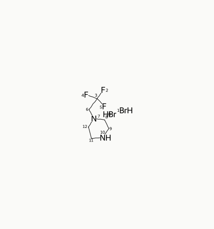 Br.Br.FC(F)(F)CN1CCNCC1